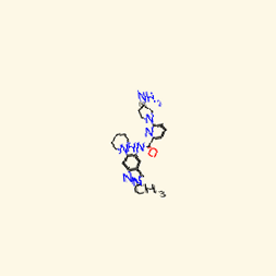 Cn1cc2cc(NC(=O)c3cccc(N4CC[C@H](N)C4)n3)c(N3CCCCC3)cc2n1